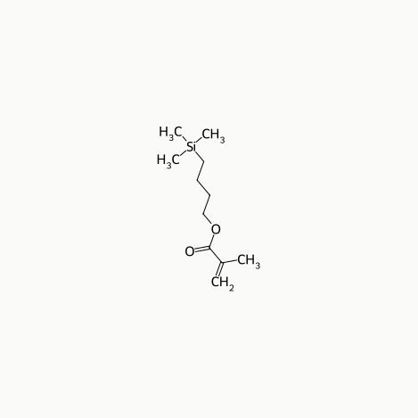 C=C(C)C(=O)OCCCC[Si](C)(C)C